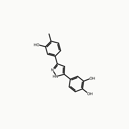 Cc1ccc(-c2cc(-c3ccc(O)c(O)c3)[nH]n2)cc1O